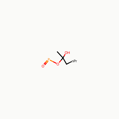 CCCCC(C)(O)OP=O